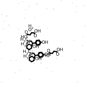 CN(C)CC(c1ccc(O)cc1)C1(O)CCCCC1.CN(C)CC(c1ccc(O)cc1)C1(O)CCCCC1.O.O=C(O)CCC(=O)O.O=C(O)CCC(=O)O